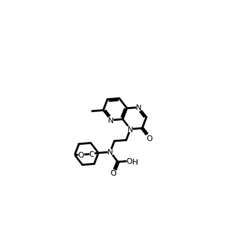 Cc1ccc2ncc(=O)n(CCN(C(=O)O)C34CCC(CC3)OC4)c2n1